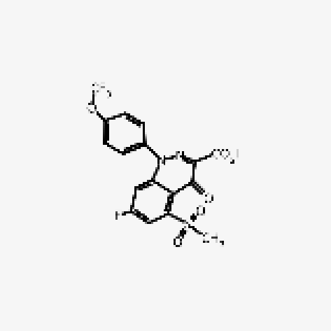 CS(=O)(=O)c1cc(F)cc2c1c(=O)c(C(=O)O)nn2-c1ccc(OC(F)(F)F)cc1